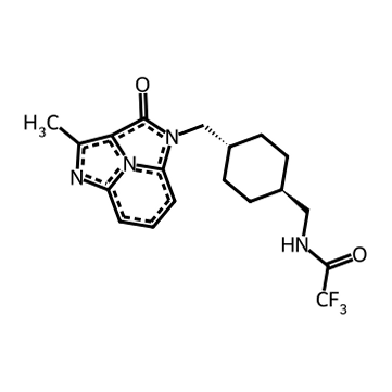 Cc1nc2cccc3n(C[C@H]4CC[C@H](CNC(=O)C(F)(F)F)CC4)c(=O)c1n23